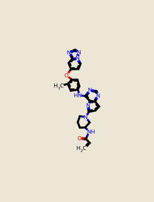 C=CC(=O)NC1CCCN(c2ccc3ncnc(Nc4ccc(Oc5ccn6ncnc6c5)c(C)c4)c3n2)C1